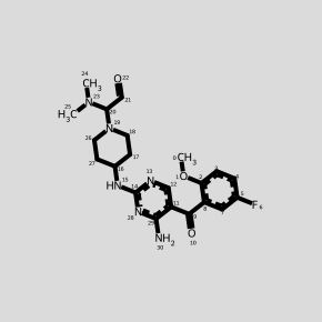 COc1ccc(F)cc1C(=O)c1cnc(NC2CCN(C(C=O)N(C)C)CC2)nc1N